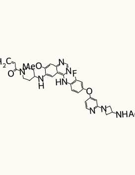 C=CC(=O)N1CCC(Nc2cc3c(Nc4ccc(Oc5ccnc(N6CC(NC(C)=O)C6)c5)cc4F)ncnc3cc2OC)CC1